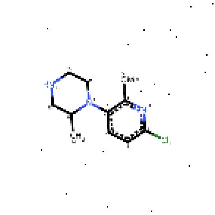 COc1nc(Cl)ccc1N1CCNCC1C